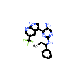 CCC(Nc1ncc(N)c(-c2c[nH]c3ncc(C(F)(F)F)cc23)n1)c1ccccc1